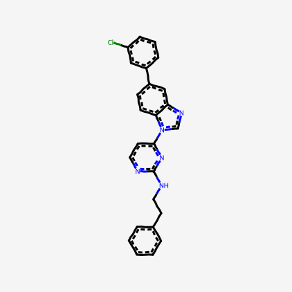 Clc1cccc(-c2ccc3c(c2)ncn3-c2ccnc(NCCc3ccccc3)n2)c1